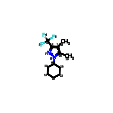 Cc1c(C(F)(F)F)nn(C2CCCCC2)c1C